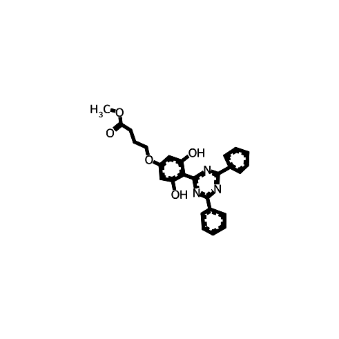 COC(=O)CCCOc1cc(O)c(-c2nc(-c3ccccc3)nc(-c3ccccc3)n2)c(O)c1